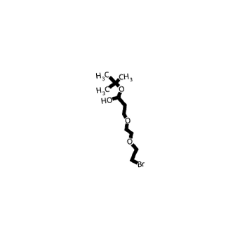 CC(C)(C)OC(O)CCOCCOCCBr